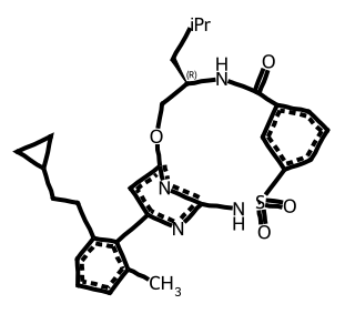 Cc1cccc(CCC2CC2)c1-c1cc2nc(n1)NS(=O)(=O)c1cccc(c1)C(=O)N[C@H](CC(C)C)CO2